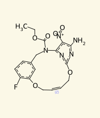 CCOC(=O)N1Cc2ccc(F)c(c2)OC/C=C\COc2nc(N)c([N+](=O)[O-])c1n2